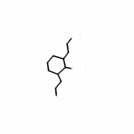 O=C(O)C1C(CCO)C[CH]CC1CCO